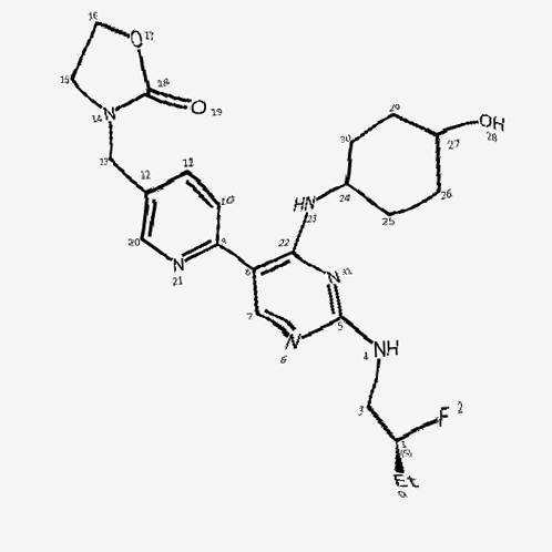 CC[C@H](F)CNc1ncc(-c2ccc(CN3CCOC3=O)cn2)c(NC2CCC(O)CC2)n1